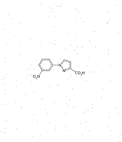 O=C(O)c1ccn(-c2cccc([N+](=O)[O-])c2)n1